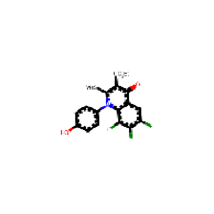 CCOC(=O)c1c(SC)n(-c2ccc(O)cc2)c2c(F)c(F)c(F)cc2c1=O